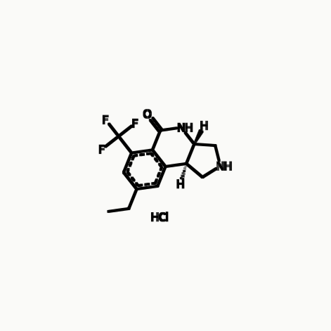 CCc1cc2c(c(C(F)(F)F)c1)C(=O)N[C@@H]1CNC[C@@H]21.Cl